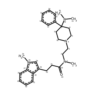 CN(CCN1CCC(c2ccccc2)(N(C)C)CC1)C(=O)CCc1cn(C)c2ccccc12